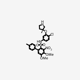 COc1cc(-c2ccc(C)cc2)c(S(=O)(=O)Nc2ccc(Cl)c(O[C@]3(C)CCNC3)c2)c([N+](=O)[O-])c1OC